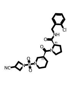 N#CC1CN(S(=O)(=O)N2CCC[C@H](C(=O)N3CCC[C@@H]3C(=O)NCc3ccccc3Cl)C2)C1